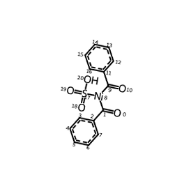 O=[C](c1ccccc1)[Ni]([C](=O)c1ccccc1)[S](=O)(=O)O